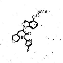 CSOOc1cccc2c1cnn2C(CC1CCOCC1)C(=O)Nc1ncc(F)s1